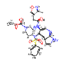 Cc1nocc1CC(=O)Nc1cnc2[nH]ccc2c1N(C1CCN(C(=O)OC(C)(C)C)CC1)S(=O)(=O)c1ccccc1